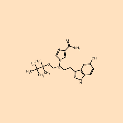 CC(C)(C)[Si](C)(C)OC[C@@H](CCc1c[nH]c2ccc(O)cc12)n1cnc(C(N)=O)c1